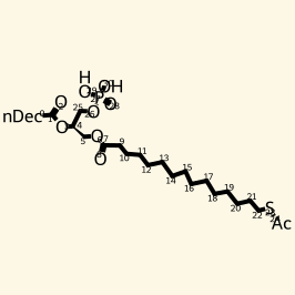 CCCCCCCCCCC(=O)O[C@H](COC(=O)CCCCCCCCCCCCCCSC(C)=O)COP(=O)(O)O